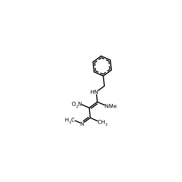 C/N=C(C)\C(=C(/NC)NCc1ccccc1)[N+](=O)[O-]